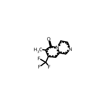 Cc1c(C(F)(F)F)cc2cnccn2c1=O